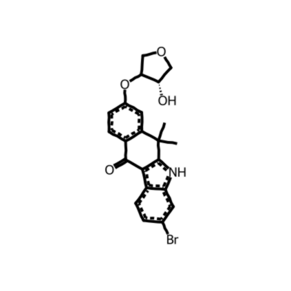 CC1(C)c2cc(OC3COC[C@@H]3O)ccc2C(=O)c2c1[nH]c1cc(Br)ccc21